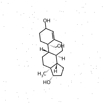 C[C@]12CC[C@H]3[C@@H](CCC4=CC(O)CC[C@@]43CO)[C@@H]1CC[C@@H]2O